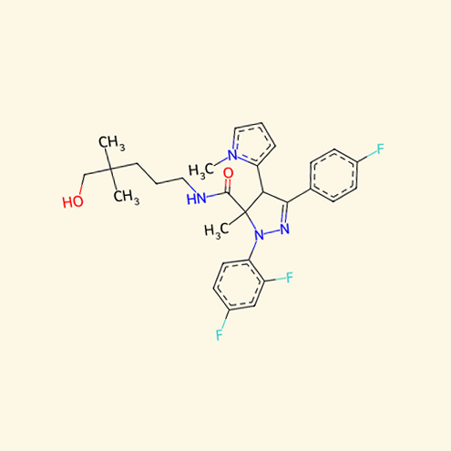 Cn1cccc1C1C(c2ccc(F)cc2)=NN(c2ccc(F)cc2F)C1(C)C(=O)NCCCC(C)(C)CO